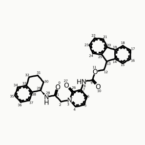 O=C(Cn1cccc(NC(=O)OCC2c3ccccc3-c3ccccc32)c1=O)N[C@@H]1CCCc2ccccc21